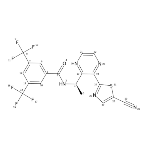 C[C@@H](NC(=O)c1cc(C(F)(F)F)cc(C(F)(F)F)c1)c1nccnc1-c1ncc(C#N)s1